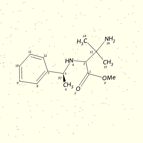 COC(=O)C(N[C@@H](C)c1ccccc1)C(C)(C)N